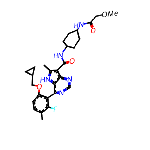 COCC(=O)NC1CCC(NC(=O)c2c(C)[nH]c3c(-c4c(OCC5CC5)ccc(C)c4F)ncnc23)CC1